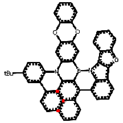 CC(C)(C)c1ccc(N2c3cc4c(cc3B3c5c2cc2ccccc2c5-c2cccc5c6oc7ccccc7c6n3c25)Oc2ccccc2O4)c(-c2ccccc2)c1